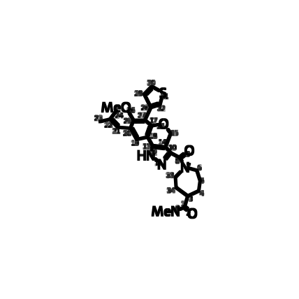 CNC(=O)C1CCCN(C(=O)c2n[nH]c3c2COc2c-3cc(C=C(C)C)c(OC)c2-c2ccsc2)CC1